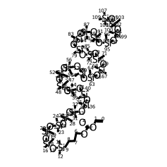 C=COC(=O)OCCCC[Si](C)(C)O[Si](C)(C)O[Si](C)(C)O[Si](C)(C)O[Si](C)(C)O[Si](C)(C)O[Si](C)(C)O[Si](C)(C)O[Si](C)(C)O[Si](C)(C)O[Si](C)(C)O[Si](C)(C)O[Si](C)(C)O[Si](C)(C)O[Si](C)(C)O[Si](C)(C)O[Si](C)(C)O[Si](C)(C)O[Si](C)(C)O[Si](C)(C)O[Si](C)(C)O[Si](C)(C)O[Si](C)(C)O[Si](C)(C)O[Si](C)(C)C